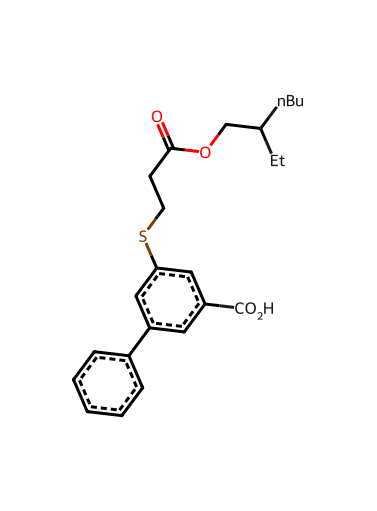 CCCCC(CC)COC(=O)CCSc1cc(C(=O)O)cc(-c2ccccc2)c1